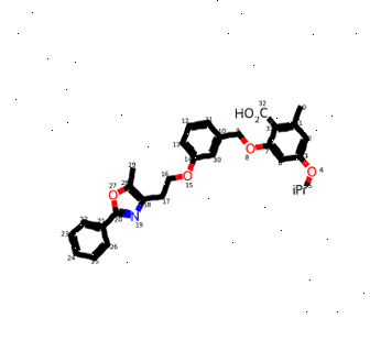 Cc1cc(OC(C)C)cc(OCc2cccc(OCCc3nc(-c4ccccc4)oc3C)c2)c1C(=O)O